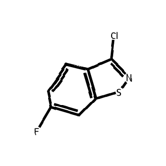 Fc1ccc2c(Cl)nsc2c1